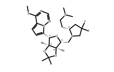 CSc1ncnn2c([C@@H]3O[C@H](CN4CC(F)(F)C[C@H]4CCN(C)C)[C@H]4OC(C)(C)O[C@H]43)ccc12